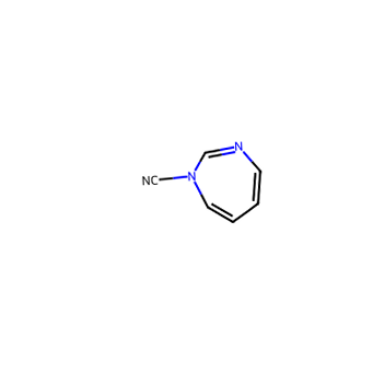 N#CN1C=CC=CN=C1